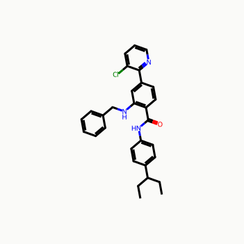 CCC(CC)c1ccc(NC(=O)c2ccc(-c3ncccc3Cl)cc2NCc2ccccc2)cc1